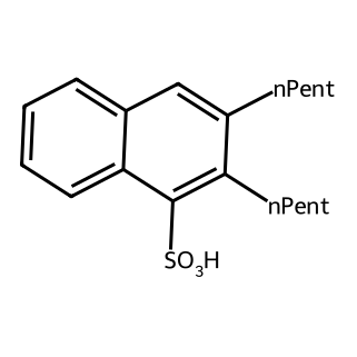 CCCCCc1cc2ccccc2c(S(=O)(=O)O)c1CCCCC